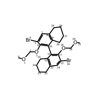 COCOc1c(Br)cc2c(c1-c1c3c(cc(Br)c1OCOC)CCCC3)CCCC2